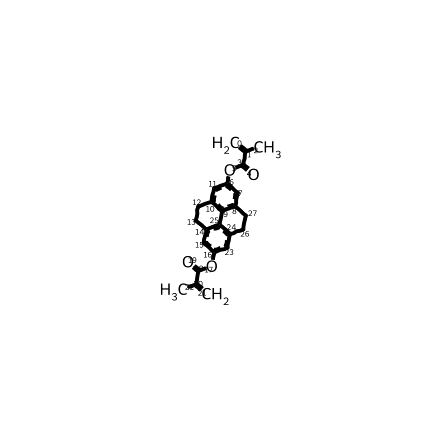 C=C(C)C(=O)Oc1cc2c3c(c1)CCc1cc(OC(=O)C(=C)C)cc(c1-3)CC2